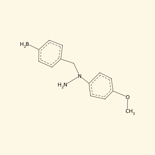 Bc1ccc(CN(N)c2ccc(OC)cc2)cc1